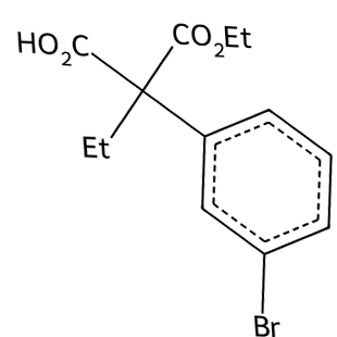 CCOC(=O)C(CC)(C(=O)O)c1cccc(Br)c1